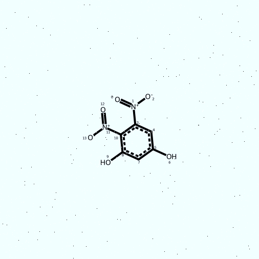 O=[N+]([O-])c1cc(O)cc(O)c1[N+](=O)[O-]